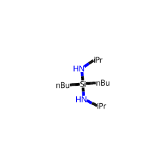 CCCC[Si](CCCC)(NC(C)C)NC(C)C